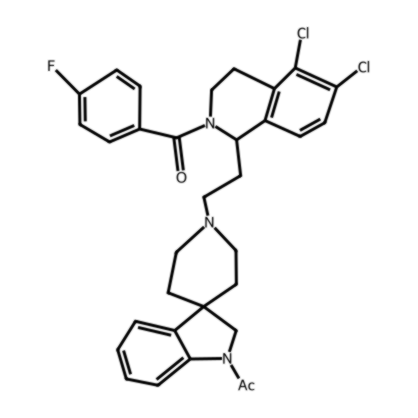 CC(=O)N1CC2(CCN(CCC3c4ccc(Cl)c(Cl)c4CCN3C(=O)c3ccc(F)cc3)CC2)c2ccccc21